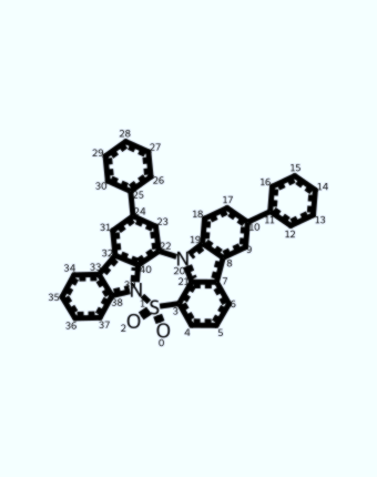 O=S1(=O)c2cccc3c4cc(-c5ccccc5)ccc4n(c23)-c2cc(-c3ccccc3)cc3c4ccccc4n1c23